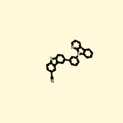 N#Cc1ccc2sc3ccc(-c4cccc(-n5c6ccccc6c6cccnc65)c4)cc3c2c1